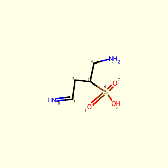 N=CCC(CN)S(=O)(=O)O